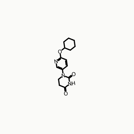 O=C1CCN(c2ccc(OC3CCCCC3)nc2)C(=O)N1